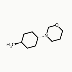 C[C@H]1CC[C@H](N2CCCOC2)CC1